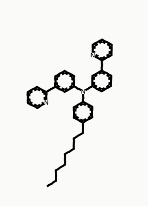 CCCCCCCCc1ccc(N(c2cccc(-c3ccccn3)c2)c2cccc(-c3ccccn3)c2)cc1